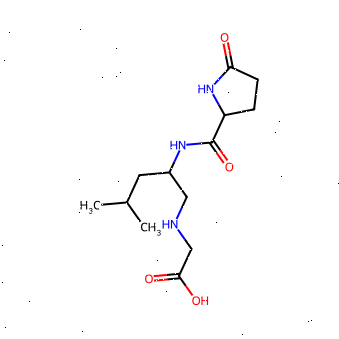 CC(C)CC(CNCC(=O)O)NC(=O)C1CCC(=O)N1